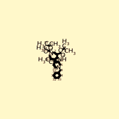 CC(C)OC(=O)C1=CN(C(=O)OC(C)(C)C)CC(C)(C)c2c1[nH]c1c2C=CN(Cc2ccccc2)C1